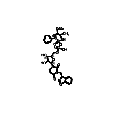 COC(=O)C(C)NP(=O)(Oc1ccccc1)OP(=O)(O)OC[C@H]1O[C@@H](n2ccc(=O)n(Cc3noc4ccccc34)c2=O)C(O)[C@H]1O